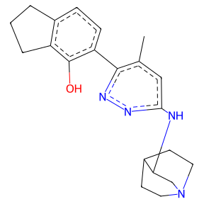 Cc1cc(NC2CN3CCC2CC3)nnc1-c1ccc2c(c1O)CCC2